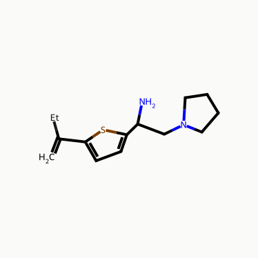 C=C(CC)c1ccc(C(N)CN2CCCC2)s1